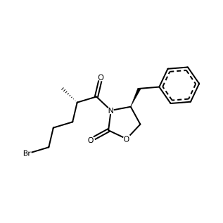 C[C@@H](CCCBr)C(=O)N1C(=O)OC[C@@H]1Cc1ccccc1